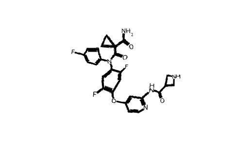 NC(=O)C1(C(=O)N(c2ccc(F)cc2)c2cc(F)c(Oc3ccnc(NC(=O)C4CNC4)c3)cc2F)CC1